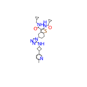 Cc1ccc(C2CC(Nc3nncn3[C@H]3CCc4sc(NC(=O)C5CC5)c(C(=O)NCC5CC5)c4C3)C2)cn1